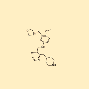 COc1ccc(NCc2cccnc2CC2CCNCC2)nc1O[C@@H]1CCOC1